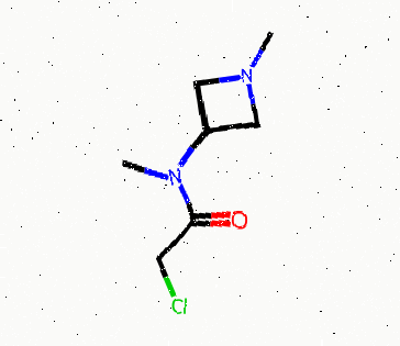 CN1CC(N(C)C(=O)CCl)C1